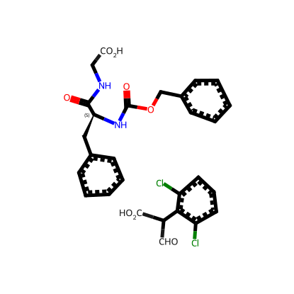 O=C(O)CNC(=O)[C@H](Cc1ccccc1)NC(=O)OCc1ccccc1.O=CC(C(=O)O)c1c(Cl)cccc1Cl